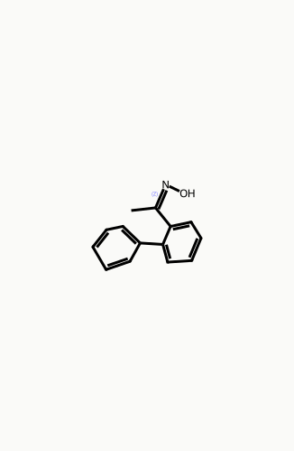 C/C(=N/O)c1ccccc1-c1ccccc1